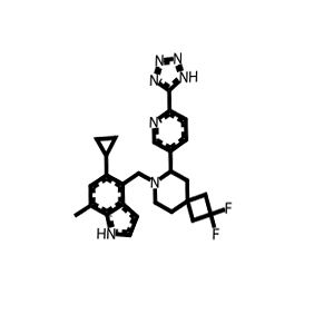 Cc1cc(C2CC2)c(CN2CCC3(CC2c2ccc(-c4nnn[nH]4)nc2)CC(F)(F)C3)c2cc[nH]c12